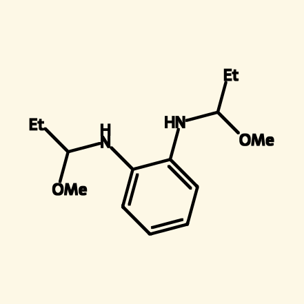 CCC(Nc1ccccc1NC(CC)OC)OC